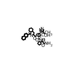 CC(C)(O)c1cnnn1[C@H]1C[C@@H](C(=O)NC2(C(=O)C(N)=O)CCCC2)N(C(=O)/C(CC2CCCCC2)=N/C(=O)c2ccc3ccccc3c2)C1